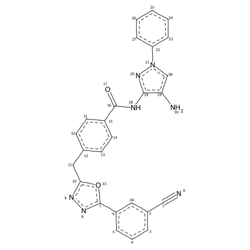 N#Cc1cccc(-c2nnc(Cc3ccc(C(=O)Nc4nn(-c5ccccc5)cc4N)cc3)o2)c1